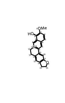 COc1ccc2cc3[n+](cc2c1O)CCc1cc2c(cc1-3)OCC2